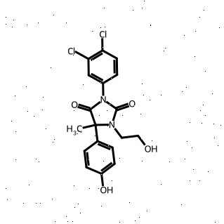 CC1(c2ccc(O)cc2)C(=O)N(c2ccc(Cl)c(Cl)c2)C(=O)N1CCO